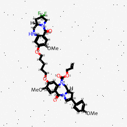 C=CCOC(=O)N1C[C@@H]2CC(c3ccc(OC)cc3)=CN2C(=O)c2cc(OC)c(OCCCCCOc3cc4c(cc3OC)C(=O)N3CC(F)(F)C[C@H]3CN4)cc21